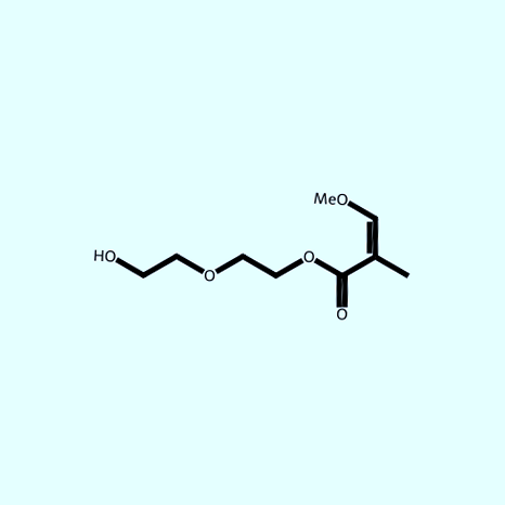 COC=C(C)C(=O)OCCOCCO